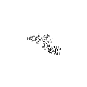 COc1c(C(=O)O)cnn1-c1cccc(C2=CCCC(C)=C2OCc2ccc3c(c2F)CCNC3)n1